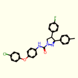 Cc1ccc(C2=NN(C(=O)Nc3ccc(Oc4ccc(Cl)cc4)cc3)CC2c2ccc(F)cc2)cc1